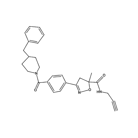 C#CCNC(=O)C1(C)CC(c2ccc(C(=O)N3CCC(Cc4ccccc4)CC3)cc2)=NO1